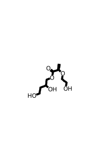 C=C(OCCO)C(=O)OCC(O)CCO